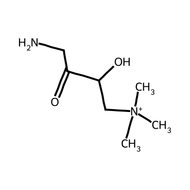 C[N+](C)(C)CC(O)C(=O)CN